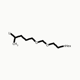 [Li][CH](C)CCCOCOCCCCCCCC